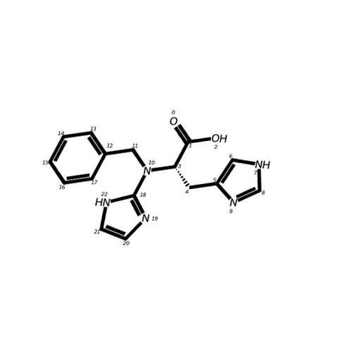 O=C(O)[C@H](Cc1c[nH]cn1)N(Cc1ccccc1)c1ncc[nH]1